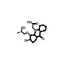 C[C@@H](O)COc1c(Cl)ccc2c(=O)c3ccccc3n(CC(=O)O)c12